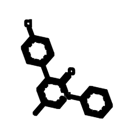 Cc1cc(-c2ccc(Cl)cc2)c(=O)n(-c2ccccc2)c1